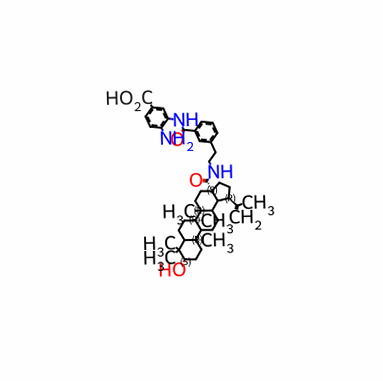 C=C(C)[C@@H]1CC[C@]2(C(=O)NCCc3cccc(C(=O)Nc4cc(C(=O)O)ccc4N)c3)CC[C@]3(C)C(CCC4[C@@]5(C)CC[C@H](O)C(C)(C)C5CC[C@]43C)C12